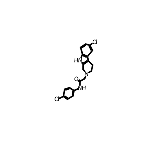 O=C(CN1CCc2c([nH]c3ccc(Cl)cc23)C1)Nc1ccc(Cl)cc1